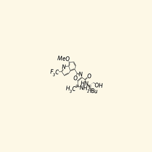 CC[C@H](C)[C@@H](CO)NC(=O)c1nc(-c2ccc(OC)c3nc(C(F)(F)F)ccc23)oc1[C@H](C)N